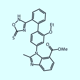 CCOc1cc(-n2c(C)nc3cccc(C(=O)OC)c32)ccc1-c1ccccc1-c1nc(=S)o[nH]1